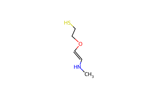 CNC=COCCS